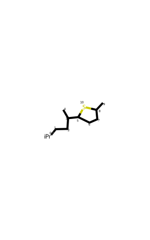 CC(C)CCC(C)C1CCC(C)S1